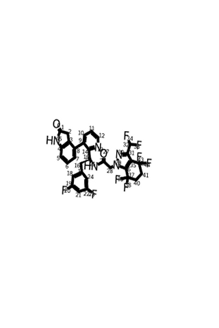 O=C1Cc2c(cccc2-c2cccnc2[C@H](Cc2cc(F)cc(F)c2)NC(=O)Cn2nc(C(F)F)c3c2C(F)(F)CCC3(F)F)N1